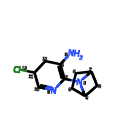 NC1=C(N2C3CCC2C3)N=CC(Cl)C1